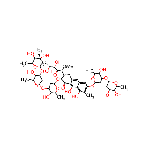 CO[C@H](C(=O)[C@@H](O)[C@@H](C)O)C1Cc2cc3cc(OC4CC(OC5CC(O)C(O)C(C)O5)C(O)C(C)O4)c(C)c(O)c3c(O)c2C(=O)[C@H]1OC1CC(OC2CC(OC3CC(C)(O)C(O)C(C)O3)C(O)C(C)O2)C(O)C(C)O1